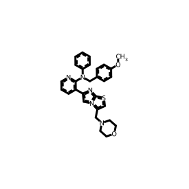 COc1ccc(CN(c2ccccc2)c2ncccc2-c2cn3c(CN4CCOCC4)csc3n2)cc1